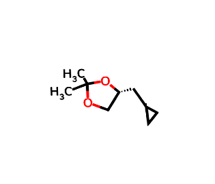 CC1(C)OC[C@@H](C[C]2CC2)O1